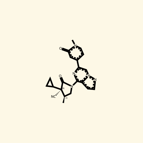 C[C@@H]1CN(c2nc(-c3ccn(C)c(=O)c3)cn3nccc23)C(=O)[C@]1(C#N)C1CC1